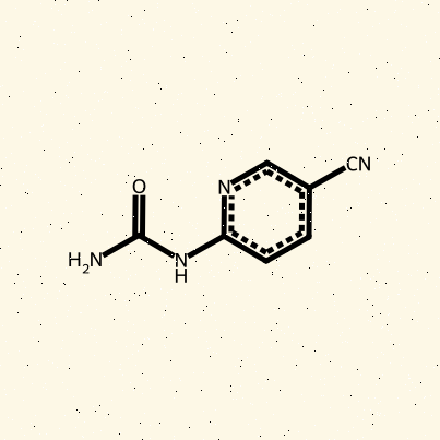 N#Cc1ccc(NC(N)=O)nc1